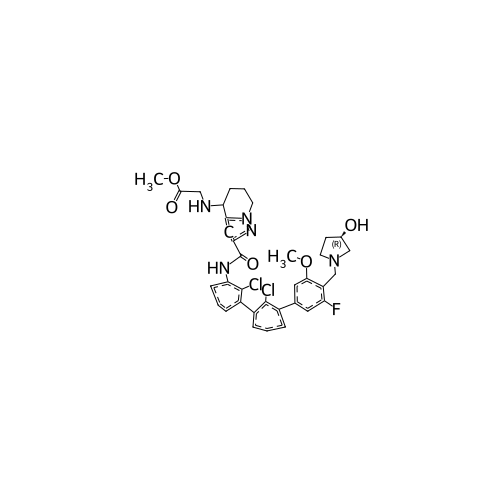 COC(=O)CNC1CCCn2nc(C(=O)Nc3cccc(-c4cccc(-c5cc(F)c(CN6CC[C@@H](O)C6)c(OC)c5)c4Cl)c3Cl)cc21